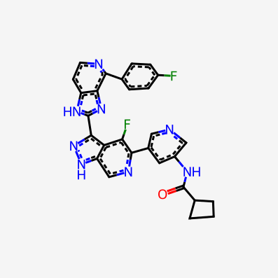 O=C(Nc1cncc(-c2ncc3[nH]nc(-c4nc5c(-c6ccc(F)cc6)nccc5[nH]4)c3c2F)c1)C1CCC1